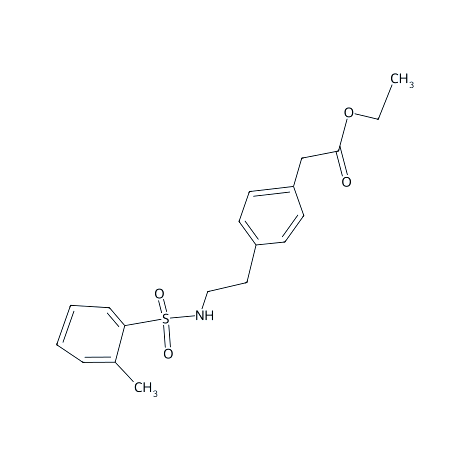 CCOC(=O)Cc1ccc(CCNS(=O)(=O)c2ccccc2C)cc1